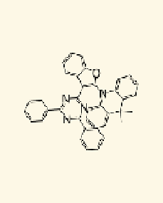 CC1(C)c2ccccc2N(c2oc3ccccc3c2-c2nc(-c3ccccc3)nc(-c3ccccc3)n2)c2ccccc21